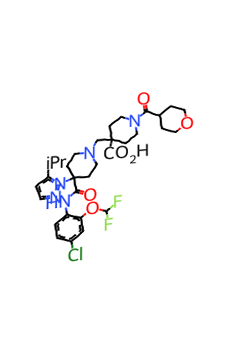 CC(C)c1ccnn1C1(C(=O)Nc2ccc(Cl)cc2OC(F)F)CCN(CC2(C(=O)O)CCN(C(=O)C3CCOCC3)CC2)CC1